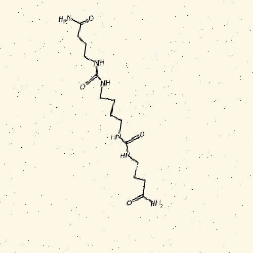 NC(=O)CCCNC(=O)NCCCCNC(=O)NCCCC(N)=O